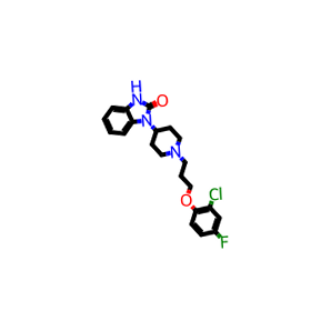 O=c1[nH]c2ccccc2n1C1CCN(CCCOc2ccc(F)cc2Cl)CC1